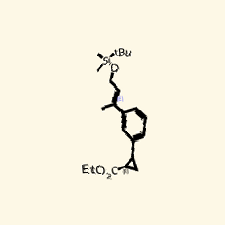 CCOC(=O)[C@@H]1CC1c1cccc(/C(C)=C/CO[Si](C)(C)C(C)(C)C)c1